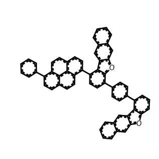 c1ccc(-c2ccc3ccc4c(-c5ccc(-c6ccc(-c7cccc8oc9cc%10ccccc%10cc9c78)cc6)c6oc7cc8ccccc8cc7c56)ccc5ccc2c3c54)cc1